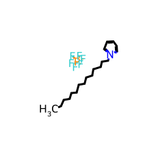 CCCCCCCCCCCCCC[n+]1ccccc1.F[P-](F)(F)(F)(F)F